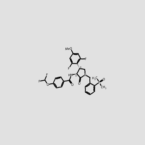 COc1cc(F)c([C@@H]2CN(Cc3ccccc3P(C)(C)=O)C(=O)[C@H]2NC(=O)c2ccc(OC(F)F)cc2)c(F)c1